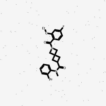 CCOc1cc(F)ccc1C(=O)N1CC2(CC(C(=O)N(C)c3ccccc3C(C)C)C2)C1